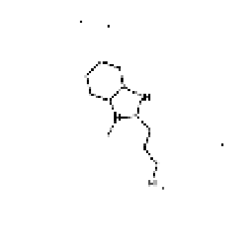 CN1C(CCCN)NC2CCCCC21